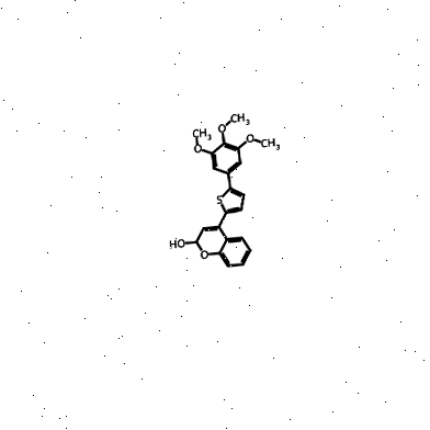 COc1cc(-c2ccc(C3=CC(O)Oc4ccccc43)s2)cc(OC)c1OC